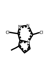 Cc1ccn2c(Cl)nnc(Cl)c12